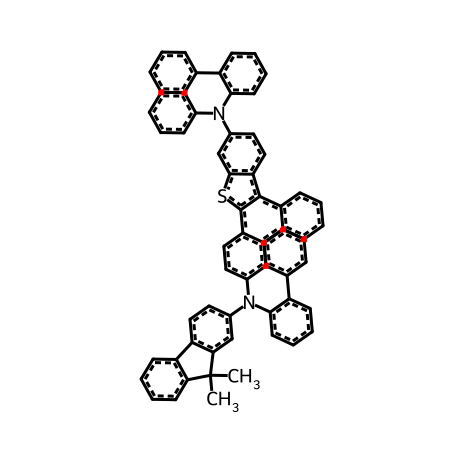 CC1(C)c2ccccc2-c2ccc(N(c3ccc4c(c3)c3ccccc3c3c5ccc(N(c6ccccc6)c6ccccc6-c6ccccc6)cc5sc43)c3ccccc3-c3ccccc3)cc21